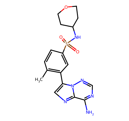 Cc1ccc(S(=O)(=O)NC2CCOCC2)cc1-c1cnc2c(N)ncnn12